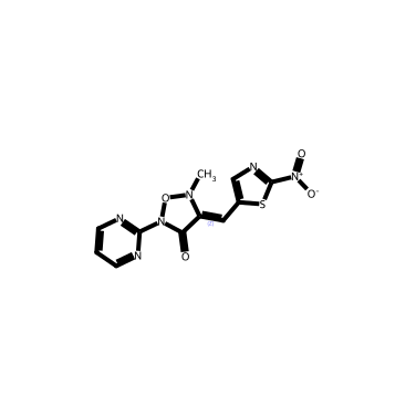 CN1ON(c2ncccn2)C(=O)/C1=C/c1cnc([N+](=O)[O-])s1